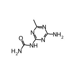 Cc1nc(N)nc(NC(N)=O)n1